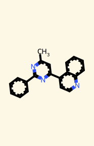 Cc1cc(-c2ccnc3ccccc23)nc(-c2ccccc2)n1